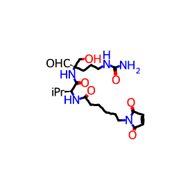 CC(C)[C@H](NC(=O)CCCCCN1C(=O)C=CC1=O)C(=O)N[C@@](C=O)(CO)CCCNC(N)=O